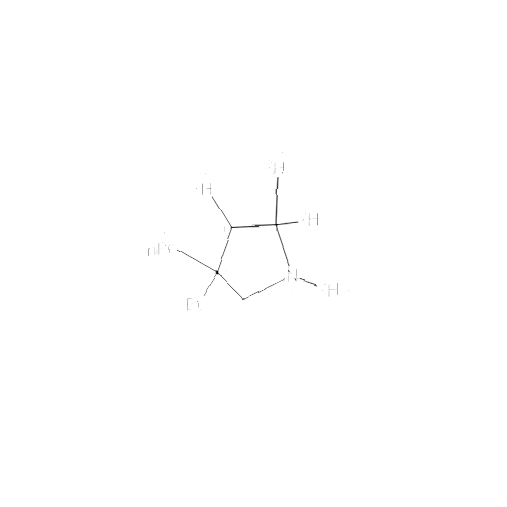 [2H]C1C(CC)(CCC)CN([2H])C1([2H])[2H]